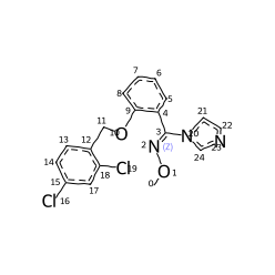 CO/N=C(/c1ccccc1OCc1ccc(Cl)cc1Cl)n1ccnc1